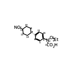 CCON(C(=O)O)c1ccc([C@H]2CC[C@H](C#N)CC2)cc1